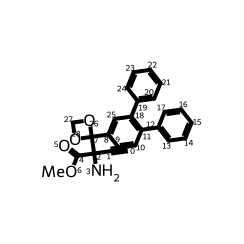 [C]#CC(N)(C(=O)OC)C1(c2ccc(-c3ccccc3)c(-c3ccccc3)c2)OCO1